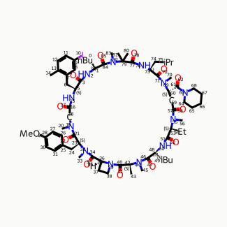 CCCC[C@@H]1NC(=O)[C@H](Cc2cc(I)ccc2C)NC(=O)CN(C)C(=O)[C@H](Cc2ccc(OC)cc2)N(C)C(=O)[C@@H]2CCN2C(=O)[C@H](C)N(C)C(=O)[C@H]([C@@H](C)CC)NC(=O)[C@H](CC)N(C)C(=O)C[C@@H](C(=O)N2CCCCC2)N(C)C(=O)[C@H](CC(C)C)NC(=O)C(C)(C)N(C)C1=O